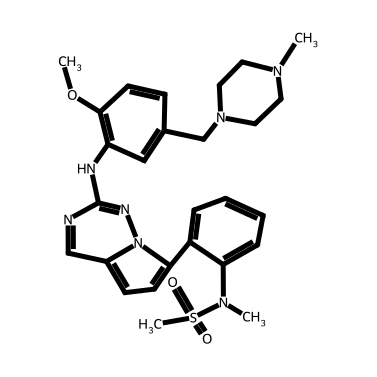 COc1ccc(CN2CCN(C)CC2)cc1Nc1ncc2ccc(-c3ccccc3N(C)S(C)(=O)=O)n2n1